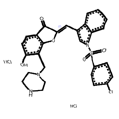 Cl.Cl.O=C1/C(=C/c2cn(S(=O)(=O)c3ccc(Cl)cc3)c3ccccc23)Oc2c1ccc(O)c2CN1CCNCC1